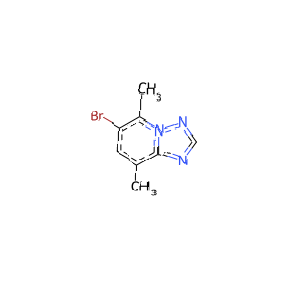 Cc1cc(Br)c(C)n2ncnc12